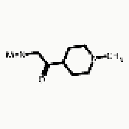 CNCC(=O)C1CCN(C)CC1